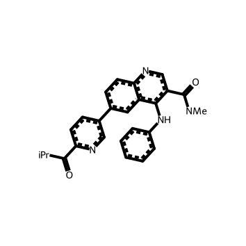 CNC(=O)c1cnc2ccc(-c3ccc(C(=O)C(C)C)nc3)cc2c1Nc1ccccc1